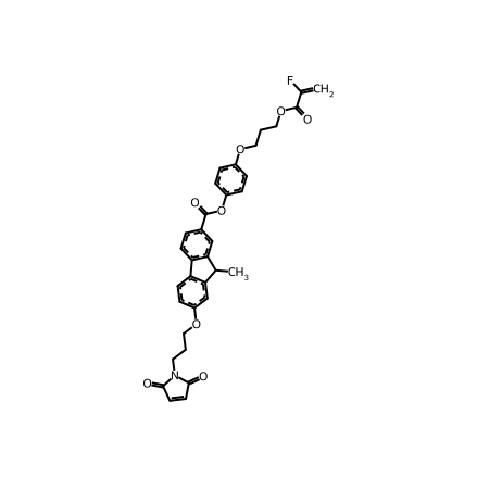 C=C(F)C(=O)OCCCOc1ccc(OC(=O)c2ccc3c(c2)C(C)c2cc(OCCCN4C(=O)C=CC4=O)ccc2-3)cc1